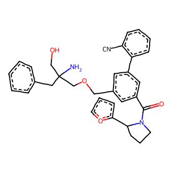 [C-]#[N+]c1ccccc1-c1cc(COCC(N)(CO)Cc2ccccc2)cc(C(=O)N2CCCC2c2ccco2)c1